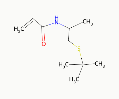 C=CC(=O)NC(C)CSC(C)(C)C